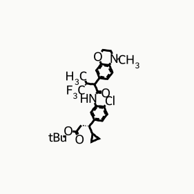 C[C@H](C(C(=O)Nc1cc([C@@H](CC(=O)OC(C)(C)C)C2CC2)ccc1Cl)c1ccc2c(c1)OCCN2C)C(F)(F)F